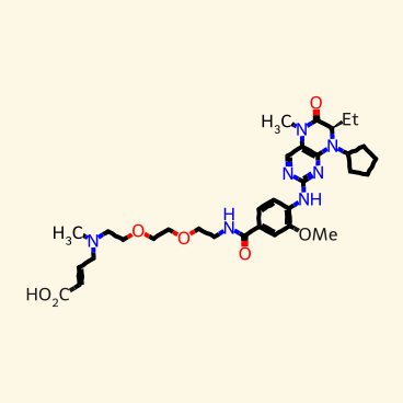 CC[C@@H]1C(=O)N(C)c2cnc(Nc3ccc(C(=O)NCCOCCOCCN(C)CC=CC(=O)O)cc3OC)nc2N1C1CCCC1